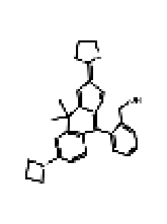 CC1(C)c2cc(N3CCC3)ccc2C(c2ccccc2CO)=c2cc/c(=C3/CCCO3)cc21